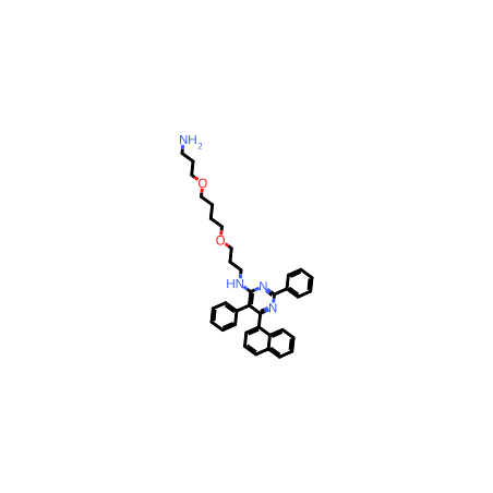 NCCCOCCCCOCCCNc1nc(-c2ccccc2)nc(-c2cccc3ccccc23)c1-c1ccccc1